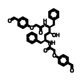 O=Cc1ccc(OCC(=O)N[C@@H](Cc2ccccc2)C[C@@H](O)[C@H](Cc2ccccc2)NC(=O)COc2ccc(C=O)cc2)cc1